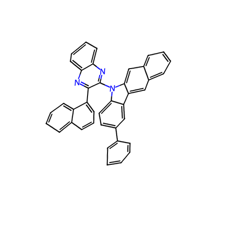 c1ccc(-c2ccc3c(c2)c2cc4ccccc4cc2n3-c2nc3ccccc3nc2-c2cccc3ccccc23)cc1